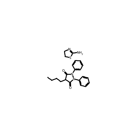 CCCCC1C(=O)N(c2ccccc2)N(c2ccccc2)C1=O.NC1=NCCS1